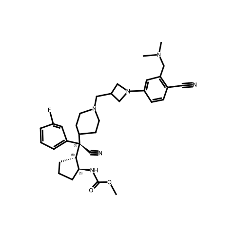 COC(=O)N[C@H]1CCC[C@@H]1[C@](C#N)(c1cccc(F)c1)C1CCN(CC2CN(c3ccc(C#N)c(CN(C)C)c3)C2)CC1